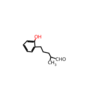 CC(C=O)CCCc1ccccc1O